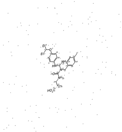 CCC(CC)Oc1ccc(NC(N)N(Cc2ccc(C)cc2)C(=O)N(C)C[C@H](C)C(=O)O)cc1